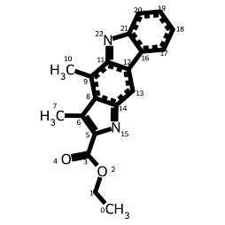 CCOC(=O)C1=C(C)c2c(C)c3c(cc2=N1)-c1ccccc1N=3